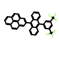 FC(F)(F)c1cc(-c2c3ccccc3c(-c3cc4ccc5cccc6ccc(c3)c4c56)c3ccccc23)cc(C(F)(F)F)c1